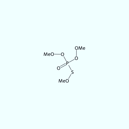 COOP(=O)(OOC)SOC